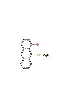 Brc1cccc2cc3ccccc3cc12.F.[MgH2]